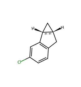 Clc1ccc2c(c1)[C@@H]1C[C@@H]1C2